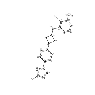 Cc1nnc(-c2ccc(N3CC(Oc4cccc(C(F)(F)F)c4C)C3)nn2)o1